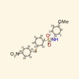 COc1ccc(NS(=O)(=O)c2cccc(Sc3ccc([N+](=O)[O-])cc3)c2)cc1